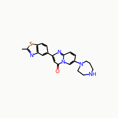 Cc1nc2cc(-c3cc(=O)n4cc(N5CCCNCC5)ccc4n3)ccc2s1